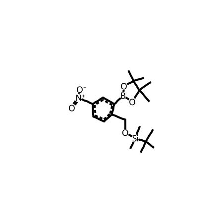 CC1(C)OB(c2cc([N+](=O)[O-])ccc2CO[Si](C)(C)C(C)(C)C)OC1(C)C